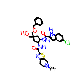 CC(C)N1CCc2nc(C(=O)NC3CC(CO)(COCc4ccccc4)CC3NC(=O)c3cc4cc(Cl)ccc4[nH]3)sc2C1